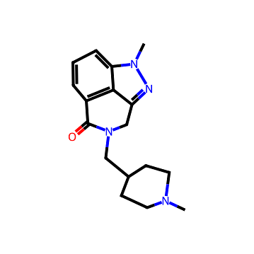 CN1CCC(CN2Cc3nn(C)c4cccc(c34)C2=O)CC1